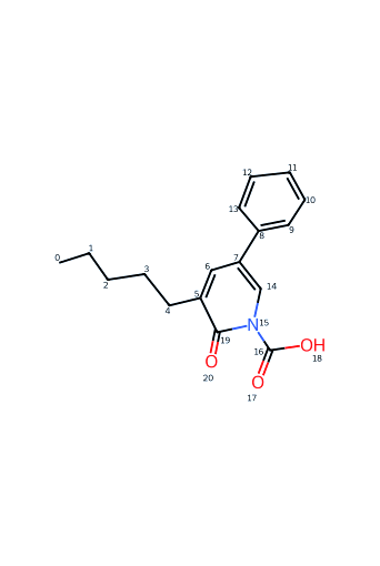 CCCCCc1cc(-c2ccccc2)cn(C(=O)O)c1=O